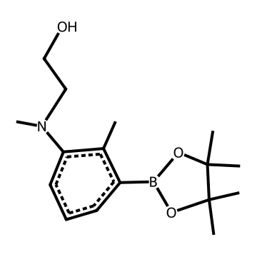 Cc1c(B2OC(C)(C)C(C)(C)O2)cccc1N(C)CCO